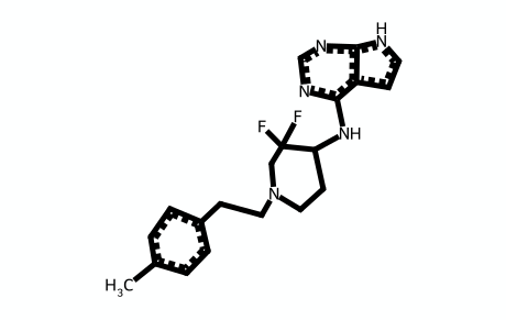 Cc1ccc(CCN2CCC(Nc3ncnc4[nH]ccc34)C(F)(F)C2)cc1